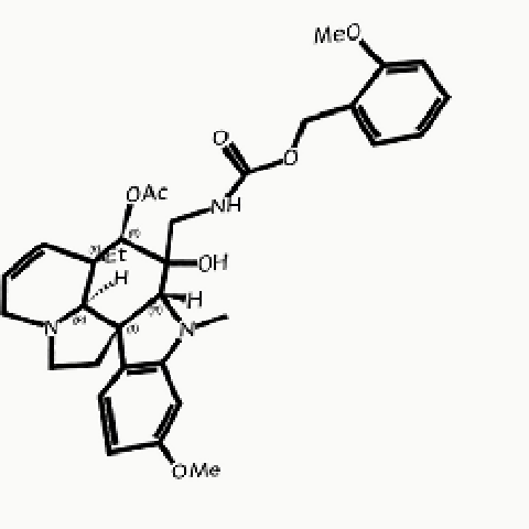 CC[C@]12C=CCN3CC[C@@]4(c5ccc(OC)cc5N(C)[C@H]4C(O)(CNC(=O)OCc4ccccc4OC)[C@@H]1OC(C)=O)[C@@H]32